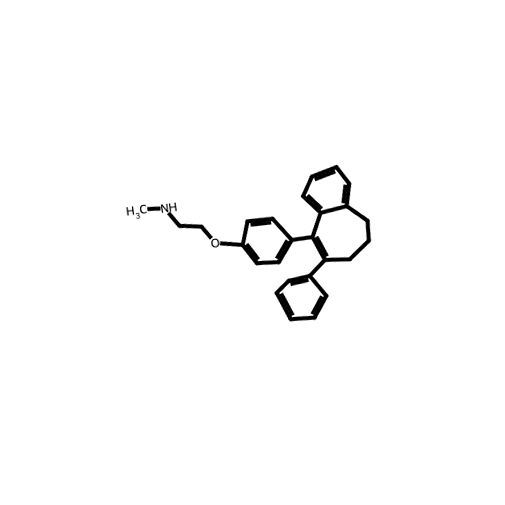 CNCCOc1ccc(C2=C(c3ccccc3)CCCc3ccccc32)cc1